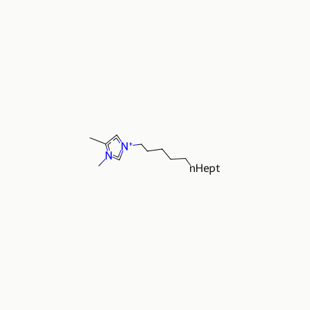 CCCCCCCCCCCC[n+]1cc(C)n(C)c1